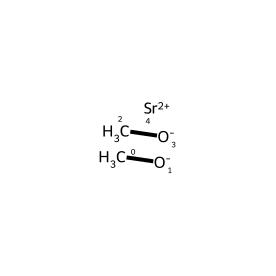 C[O-].C[O-].[Sr+2]